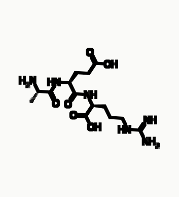 C[C@H](N)C(=O)N[C@@H](CCC(=O)O)C(=O)N[C@@H](CCCNC(=N)N)C(=O)O